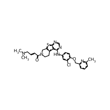 Cc1cccc(COc2ccc(Nc3ncnc4sc5c(c34)CCN(C(=O)/C=C/CN(C)C)C5)cc2Cl)n1